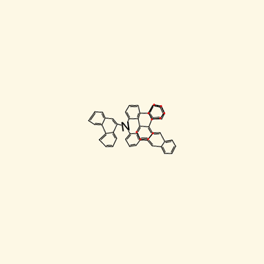 c1ccc(-c2ccccc2-c2c(-c3ccccc3)cccc2N(c2cccc(-c3ccc4ccccc4c3)c2)c2cc3ccccc3c3ccccc23)cc1